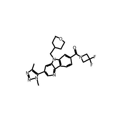 Cc1nnn(C)c1-c1cnc2c3ccc(C(=O)N4CC(F)(F)C4)cc3n(CC3CCOCC3)c2c1